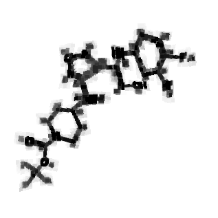 CC(C)(C)OC(=O)N1CCC(Nc2nonc2/C(=N/O)Nc2ccc(F)c(Br)c2)CC1